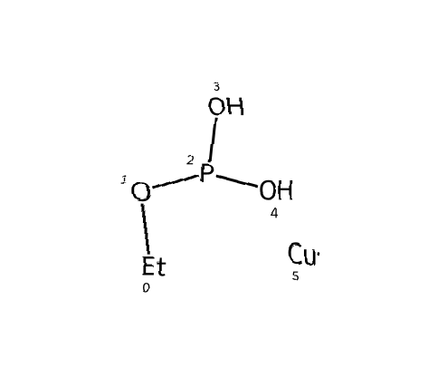 CCOP(O)O.[Cu]